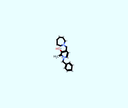 C=C1C(O)=C(CN2CCCCCC2)C=CN1Cc1ccccc1